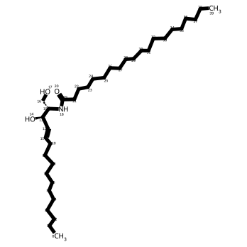 CCCCCCCCCCC/C=C/[C@@H](O)[C@H](CO)NC(=O)CCCCCCCCCCCCCCCCCCC